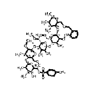 COCC1O[C@@H](O[C@H]2C(C)C(C)[C@@H](O[C@H]3C(C)C(OC)[C@H](O[C@@H]4C(COCc5ccccc5)O[C@@H](C)C(C)[C@H]4C)O[C@H]3COC)O[C@H]2COC)C(OC)[C@@H](C)[C@@H]1O[C@H]1OC(COS(=O)(=O)c2ccc(C)cc2)[C@@H](O)[C@H](C)C1C